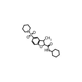 CC1c2cc(S(=O)(=O)N3CCCCC3)ccc2OC1C(=O)NC1CCCCC1